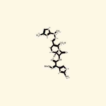 CO/N=C(\C(=O)NC1C(=O)N2C(C(=O)O)=C(C=NN(C)c3nc(C)cs3)CS[C@@H]12)c1csc(N)n1